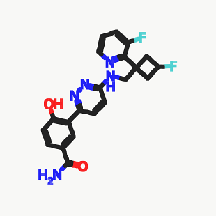 NC(=O)c1ccc(O)c(-c2ccc(NCC3(c4ncccc4F)CC(F)C3)nn2)c1